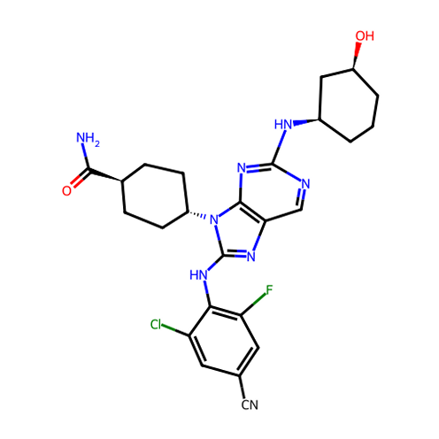 N#Cc1cc(F)c(Nc2nc3cnc(N[C@@H]4CCC[C@H](O)C4)nc3n2[C@H]2CC[C@H](C(N)=O)CC2)c(Cl)c1